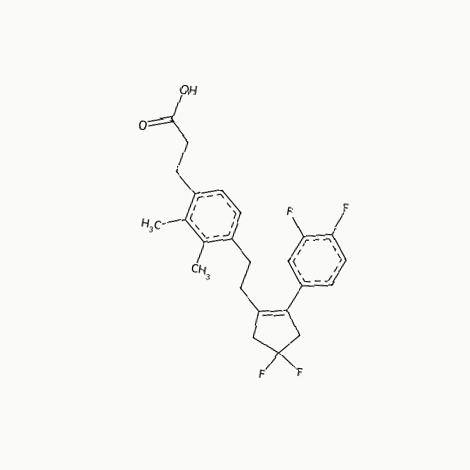 Cc1c(CCC(=O)O)ccc(CCC2=C(c3ccc(F)c(F)c3)CC(F)(F)C2)c1C